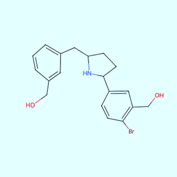 OCc1cccc(CC2CCC(c3ccc(Br)c(CO)c3)N2)c1